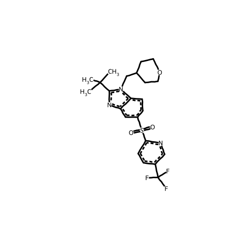 CC(C)(C)c1nc2cc(S(=O)(=O)c3ccc(C(F)(F)F)cn3)ccc2n1CC1CCOCC1